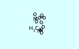 CCc1nc2ccccc2n1-c1cccc(-c2ccc(-c3c4c(cc5c(-c6ccccc6)nc6ccccc6c35)oc3ccccc34)cc2)c1